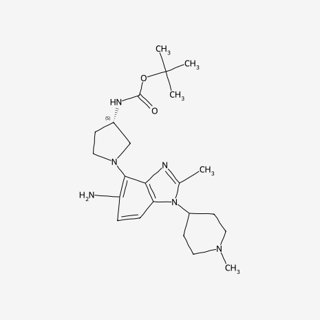 Cc1nc2c(N3CC[C@H](NC(=O)OC(C)(C)C)C3)c(N)ccc2n1C1CCN(C)CC1